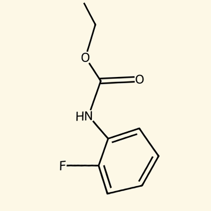 CCOC(=O)Nc1ccccc1F